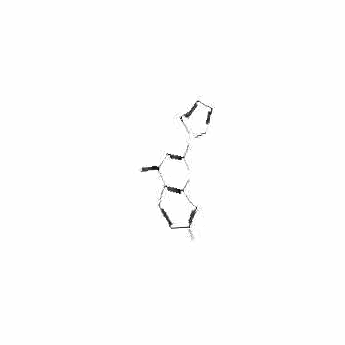 COc1ccc2c(=O)cc(-n3cccn3)oc2c1